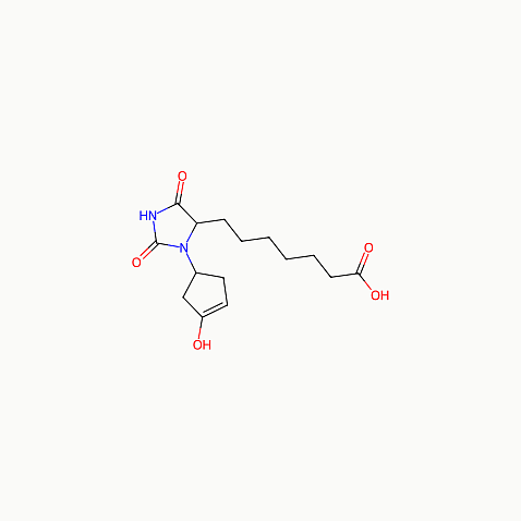 O=C(O)CCCCCCC1C(=O)NC(=O)N1C1CC=C(O)C1